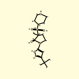 CC(C)(C)c1cc(N2CCC(C)(S(=O)(=O)C3CCOCC3)C2=O)on1